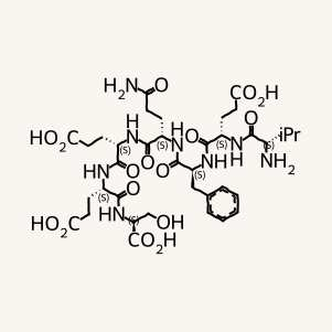 CC(C)[C@H](N)C(=O)N[C@@H](CCC(=O)O)C(=O)N[C@@H](Cc1ccccc1)C(=O)N[C@@H](CCC(N)=O)C(=O)N[C@@H](CCC(=O)O)C(=O)N[C@@H](CCC(=O)O)C(=O)N[C@@H](CO)C(=O)O